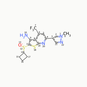 Cn1cc(-c2cc(C(F)(F)F)c3c(N)c([S+]([O-])C4CCC4)sc3n2)cn1